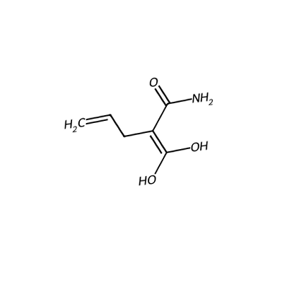 C=CCC(C(N)=O)=C(O)O